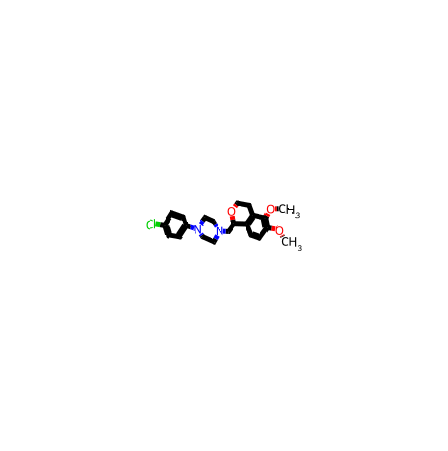 COc1ccc2c(c1OC)CCOC2CN1CCN(c2ccc(Cl)cc2)CC1